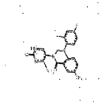 Cc1cc(F)ccc1N1CN(c2c[nH]c(=O)nc2N)C(=O)c2cc(C(F)(F)F)ccc21